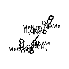 CN[C@@H](C)C(=O)N[C@@H](CC#CC#CC[C@H](NC(=O)[C@H](C)NC)C(=O)N1CCC[C@H]1CNC(=O)c1cc2ccccc2cc1OC)C(=O)N1CCC[C@H]1CNC(=O)c1cc2ccccc2cc1OC